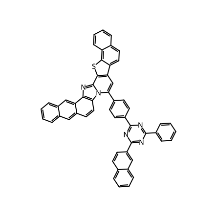 c1ccc(-c2nc(-c3ccc(-c4cc5c6ccc7ccccc7c6sc5c5nc6c7cc8ccccc8cc7ccc6n45)cc3)nc(-c3ccc4ccccc4c3)n2)cc1